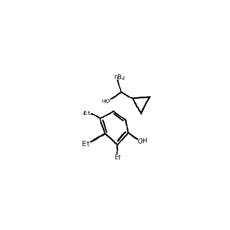 CCCCC(O)C1CC1.CCc1ccc(O)c(CC)c1CC